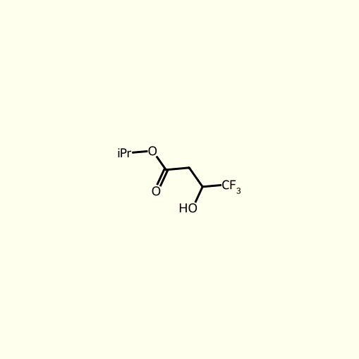 CC(C)OC(=O)CC(O)C(F)(F)F